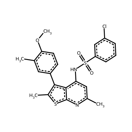 COc1ccc(-c2c(C)sc3nc(C)cc(NS(=O)(=O)c4cccc(Cl)c4)c23)cc1C